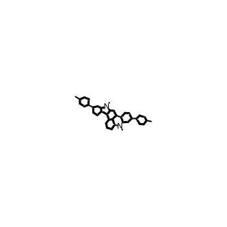 Cc1ccc(-c2ccc3c(c2)N(C)c2cccc4c2c-3cc2c4c3ccc(-c4ccc(C)cc4)cc3n2C)cc1